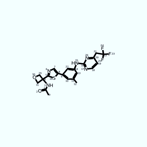 CC(=O)NC1(c2ncc(-c3cc(C)cc(Nc4nccc(CC(F)(F)F)n4)c3)s2)COC1